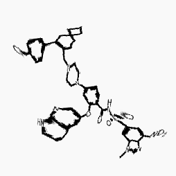 CN1C=NC2C([N+](=O)[O-])=CC(S(=O)(=O)NC(=O)c3ccc(N4CCN(CC5=C(c6ccc(Cl)cc6)CC6(CCC6)CC5)CC4)cc3Oc3cnc4[nH]ccc4c3)=CC21